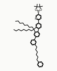 CCCCCCCCC1(CCCCCCCC)c2cc(-c3cccc(CCCCCCc4ccccc4)c3)ccc2-c2ccc(-c3ccc(B4OC(C)(C)C(C)(C)O4)cn3)cc21